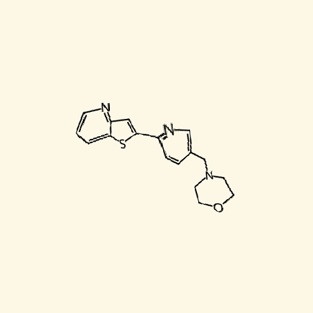 c1cnc2cc(-c3ccc(CN4CCOCC4)cn3)sc2c1